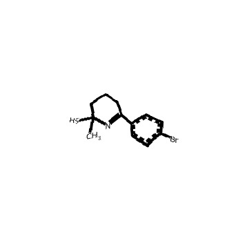 CC1(S)CCCC(c2ccc(Br)cc2)=N1